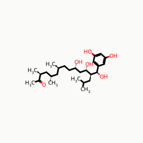 CC(=O)[C@@H](C)C[C@@H](C)C[C@@H](C)CC[C@H](O)C[C@H](O)[C@H](CC(C)C)[C@H](O)c1cc(O)cc(O)c1